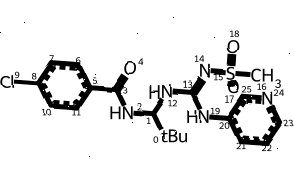 CC(C)(C)C(NC(=O)c1ccc(Cl)cc1)N/C(=N/S(C)(=O)=O)Nc1cccnc1